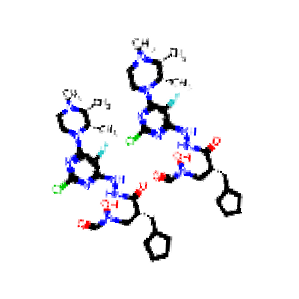 C[C@@H]1[C@H](C)N(c2nc(Cl)nc(NNC(=O)[C@H](CC3CCCC3)CN(O)C=O)c2F)CCN1C.C[C@@H]1[C@H](C)N(c2nc(Cl)nc(NNC(=O)[C@H](CC3CCCC3)CN(O)C=O)c2F)CCN1C